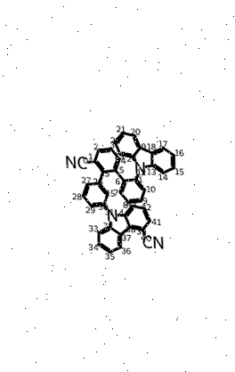 N#Cc1cccc(-c2ccccc2-n2c3ccccc3c3ccccc32)c1-c1cccc(-n2c3ccccc3c3c(C#N)cccc32)c1